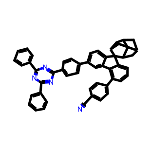 N#Cc1ccc(-c2cccc3c2-c2cc(-c4ccc(-c5nc(-c6ccccc6)nc(-c6ccccc6)n5)cc4)ccc2C32C3CC4CC(C3)CC2C4)cc1